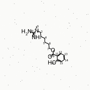 CN(CCCCCCOC(=O)c1ccccc1O)C(=N)N